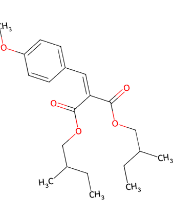 CCC(C)COC(=O)C(=Cc1ccc(OC)cc1)C(=O)OCC(C)CC